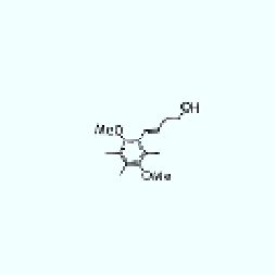 COc1c(C)c(C)c(OC)c(C=CCCO)c1C